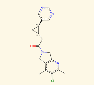 Cc1nc2c(c(C)c1Cl)CN(C(=O)C[C@@H]1C[C@H]1c1cncnc1)C2